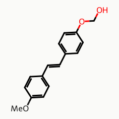 COc1ccc(C=Cc2ccc(OCO)cc2)cc1